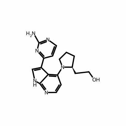 Nc1nccc(-c2c[nH]c3nccc(N4CCC[C@H]4CCO)c23)n1